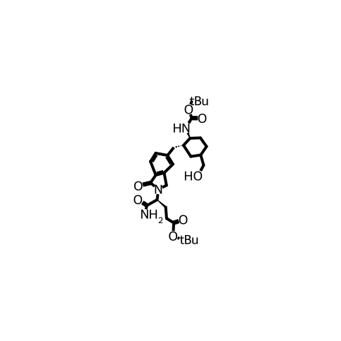 CC(C)(C)OC(=O)CC[C@@H](C(N)=O)N1Cc2cc(C[C@H]3CC(CO)CC[C@@H]3NC(=O)OC(C)(C)C)ccc2C1=O